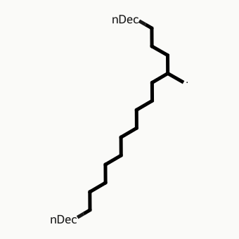 [CH2]C(CCCCCCCCCCCCC)CCCCCCCCCCCCCCCCCCCC